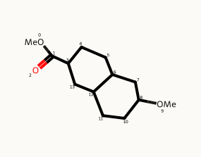 COC(=O)C1CCC2CC(OC)CCC2C1